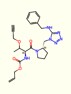 C#CCOC(C)[C@H](NC(=O)OCC=C)C(=O)N1CCC[C@H]1Cn1nnnc1NCc1ccccc1